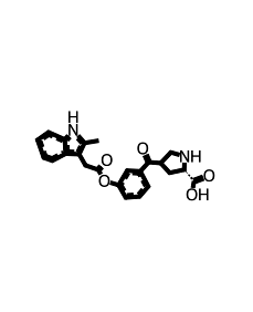 Cc1[nH]c2ccccc2c1CC(=O)Oc1cccc(C(=O)C2CN[C@H](C(=O)O)C2)c1